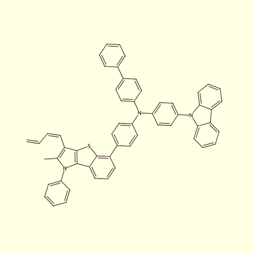 C=C/C=C\c1c(C)n(-c2ccccc2)c2c1sc1c(-c3ccc(N(c4ccc(-c5ccccc5)cc4)c4ccc(-n5c6ccccc6c6ccccc65)cc4)cc3)cccc12